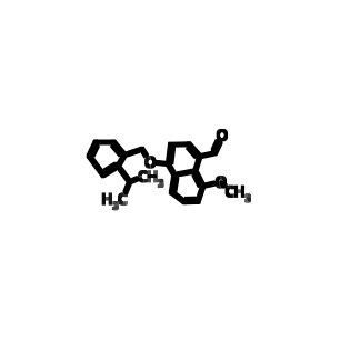 COc1cccc2c(OCc3ccccc3C(C)C)ccc(C=O)c12